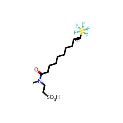 CN(CCS(=O)(=O)O)C(=O)CCCCCCC/C=C/S(F)(F)(F)(F)F